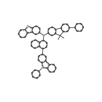 CC1(C)c2cc(-c3ccccc3)ccc2-c2ccc(N(c3ccc4oc5ccccc5c4c3)c3ccc(-c4ccc5c(c4)c4ccccc4n5-c4ccccc4)c4ccccc34)cc21